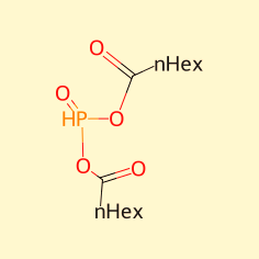 CCCCCCC(=O)O[PH](=O)OC(=O)CCCCCC